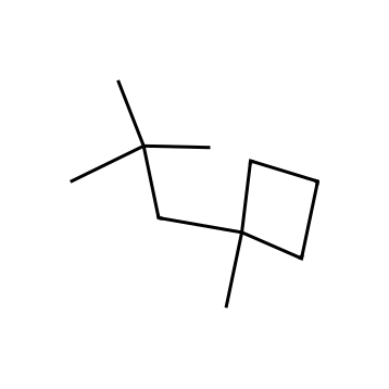 CC(C)(C)CC1(C)CCC1